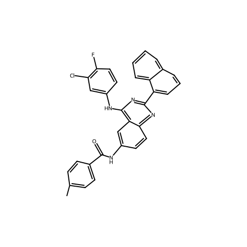 Cc1ccc(C(=O)Nc2ccc3nc(-c4cccc5ccccc45)nc(Nc4ccc(F)c(Cl)c4)c3c2)cc1